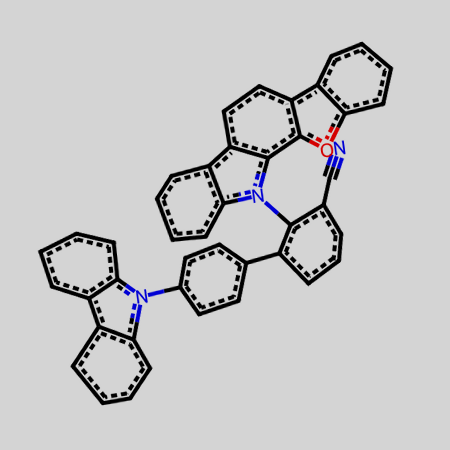 N#Cc1cccc(-c2ccc(-n3c4ccccc4c4ccccc43)cc2)c1-n1c2ccccc2c2ccc3c4ccccc4oc3c21